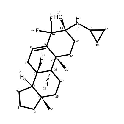 C[C@@]12CCC[C@H]1[C@@H]1CC=C3C(F)(F)[C@](O)(NC4CC4)CC[C@]3(C)[C@H]1CC2